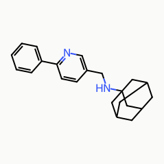 c1ccc(-c2ccc(CNC34CC5CC(CC(C5)C3)C4)cn2)cc1